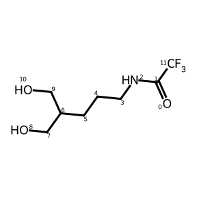 O=C(NCCCC(CO)CO)C(F)(F)F